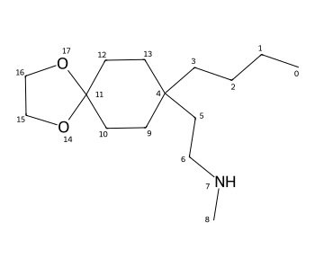 CCCCC1(CCNC)CCC2(CC1)OCCO2